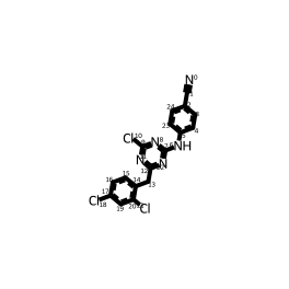 N#Cc1ccc(Nc2nc(Cl)nc(Cc3ccc(Cl)cc3Cl)n2)cc1